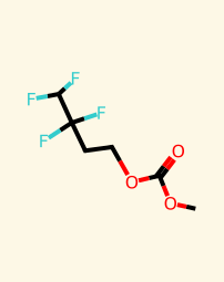 COC(=O)OCCC(F)(F)C(F)F